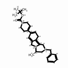 C[C@@H]1CN(Cc2ccccc2)CC2=C3CC=C(C4=CCN(C(=O)OC(C)(C)C)CC4)C=C3CN21